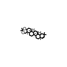 CC1(C)C=C[C@]2(C)CC[C@]3(C)C(=CC[C@@H]4[C@@]5(C)CCC6OC(C)(C)OC[C@@]6(C)C5CC[C@]43C)[C@H]2C1